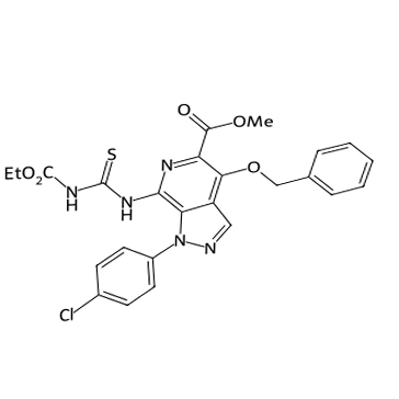 CCOC(=O)NC(=S)Nc1nc(C(=O)OC)c(OCc2ccccc2)c2cnn(-c3ccc(Cl)cc3)c12